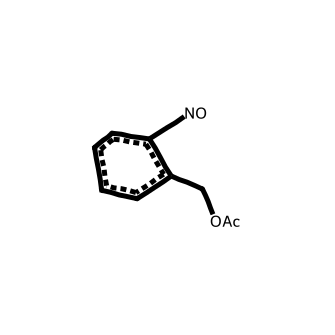 CC(=O)OCc1ccccc1N=O